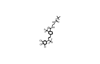 CC(C)(C)OC(=O)NCCNC(=O)c1ccc(/C=C/C(c2cc(Cl)c(Cl)c(Cl)c2)C(F)(F)F)cc1C(F)(F)F